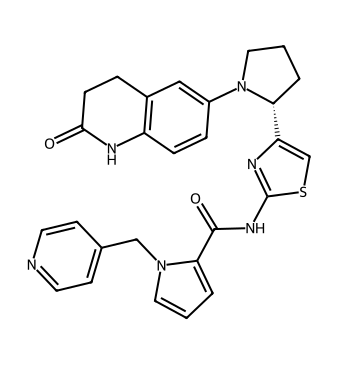 O=C1CCc2cc(N3CCC[C@@H]3c3csc(NC(=O)c4cccn4Cc4ccncc4)n3)ccc2N1